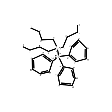 CCC[CH2][Sn]([CH2]CCC)([CH2]CCC)[Ge]([c]1ccccc1)([c]1ccccc1)[c]1ccccc1